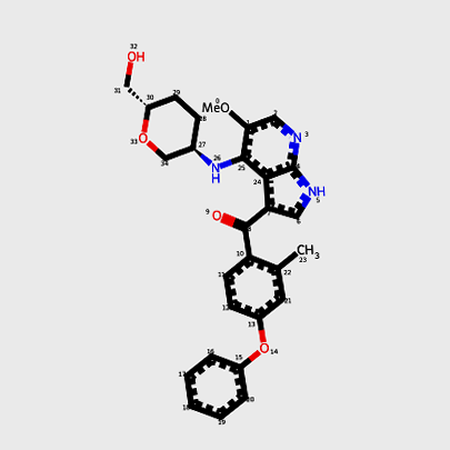 COc1cnc2[nH]cc(C(=O)c3ccc(Oc4ccccc4)cc3C)c2c1N[C@@H]1CC[C@@H](CO)OC1